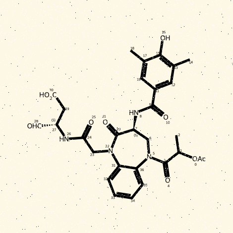 CC(=O)OC(C)C(=O)N1C[C@H](NC(=O)c2cc(C)c(O)c(C)c2)C(=O)N(CC(=O)N[C@H](C=O)CC(=O)O)c2ccccc21